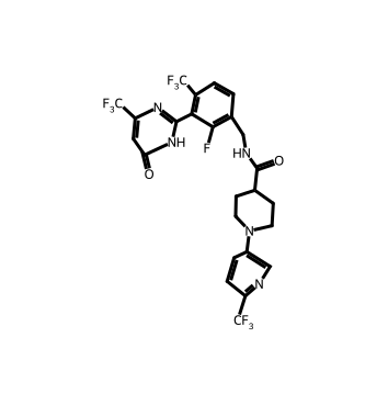 O=C(NCc1ccc(C(F)(F)F)c(-c2nc(C(F)(F)F)cc(=O)[nH]2)c1F)C1CCN(c2ccc(C(F)(F)F)nc2)CC1